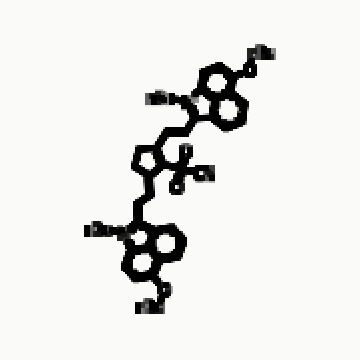 CCCCOc1ccc2c3c(cccc13)C(/C=C/C1=C(S(=O)(=O)C#N)C(=C/C=c3\c4cccc5c(OCCCC)ccc(c54)n3CCCC)/CC1)=[N+]2CCCC